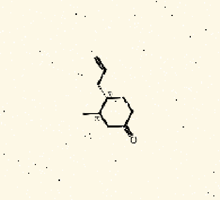 C=CC[C@@H]1CCC(=O)C[C@H]1C